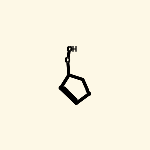 OOC1C=CCC1